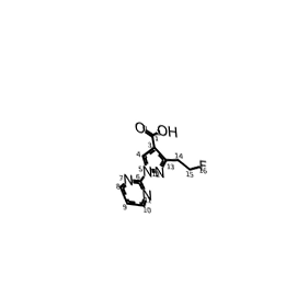 O=C(O)c1cn(-c2ncccn2)nc1CCF